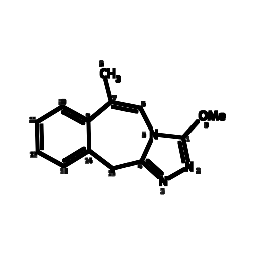 COc1nnc2n1C=C(C)c1ccccc1C2